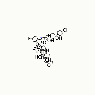 C[C@]12CCC(=O)C=C1CC[C@@H]1[C@@H]2[C@@H](O)C[C@@]2(C)[C@H]1CC[C@]2(O)C(=O)C(OC(=O)O)/C(=C\CCN1CCC(O)(c2ccc(Cl)cc2)CC1)c1ccc(F)cc1